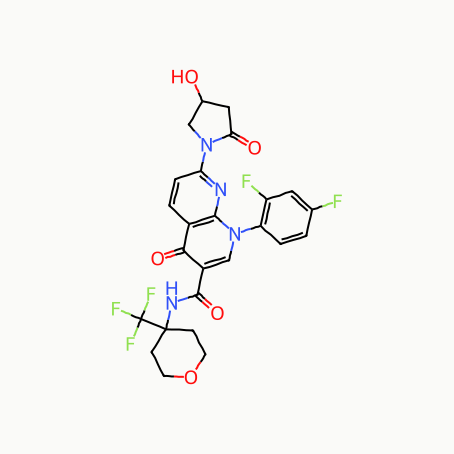 O=C(NC1(C(F)(F)F)CCOCC1)c1cn(-c2ccc(F)cc2F)c2nc(N3CC(O)CC3=O)ccc2c1=O